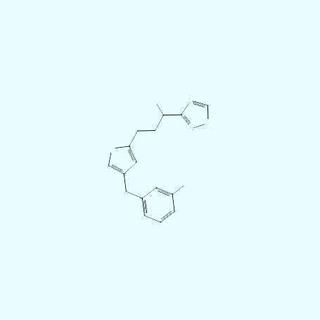 OC(CCc1cc(Cc2cccc(F)c2)c[nH]1)c1nc[nH]n1